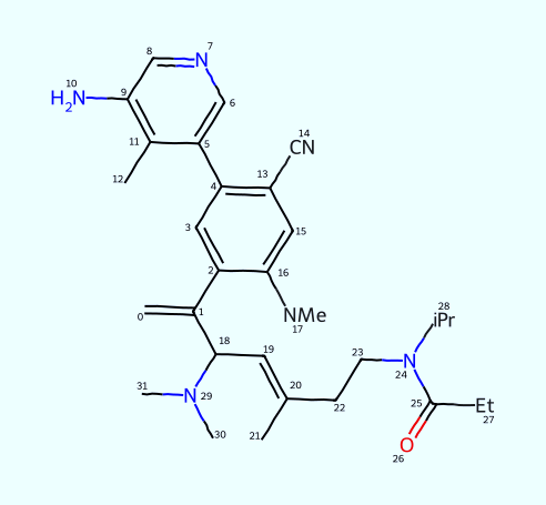 C=C(c1cc(-c2cncc(N)c2C)c(C#N)cc1NC)C(/C=C(\C)CCN(C(=O)CC)C(C)C)N(C)C